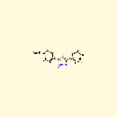 CNc1ccc(-n2cc(-c3ccccc3)nn2)cc1